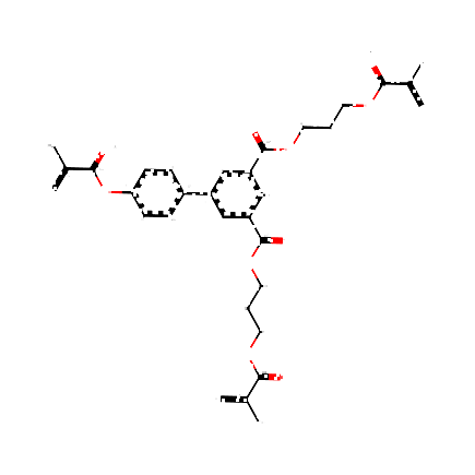 C=C(C)C(=O)OCCCOC(=O)c1cc(C(=O)OCCCOC(=O)C(=C)C)cc(-c2ccc(OC(=O)C(=C)C)cc2)c1